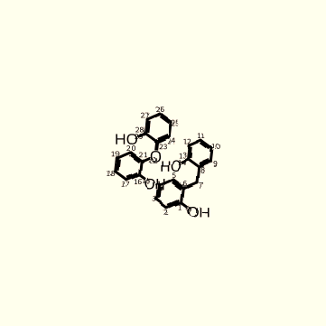 Oc1ccccc1Cc1ccccc1O.Oc1ccccc1Oc1ccccc1O